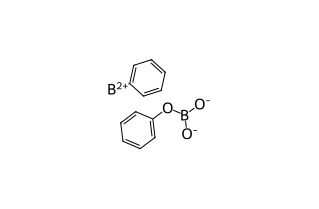 [B+2]c1ccccc1.[O-]B([O-])Oc1ccccc1